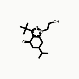 CC(C)C1CC(=O)c2c(C(C)(C)C)nn(CCO)c2C1